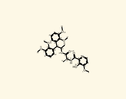 COc1ccnc(C(=O)N[C@@H](C)C(=O)OC(C)C(c2cccc(OC)c2OC)c2cccc(OC)c2OC)c1O